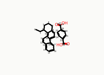 CCC1CCCc2ccc3c(ccc4ccccc43)c21.O=C(O)c1ccc(C(=O)O)cc1